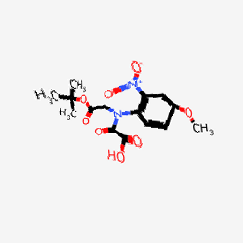 COc1ccc(N(CC(=O)OC(C)(C)C)C(=O)C(=O)O)c([N+](=O)[O-])c1